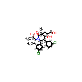 CC[C@@H]([C@H](C)O)N1C(=O)[C@@](C)(C[C@@H](O)CO)CC(c2cccc(Cl)c2)[C@H]1c1ccc(Cl)cc1